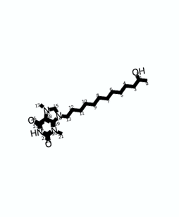 CC(O)CCCCCCCCCCCN1CN(C)c2c1n(C)c(=O)[nH]c2=O